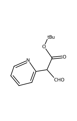 CC(C)(C)OC(=O)C(C=O)c1ccccn1